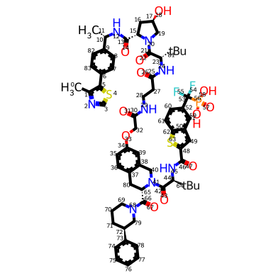 Cc1ncsc1-c1ccc([C@H](C)NC(=O)[C@@H]2C[C@@H](O)CN2C(=O)[C@@H](NC(=O)CCNC(=O)COc2ccc3c(c2)CN(C(=O)[C@@H](NC(=O)c2cc4cc(C(F)(F)P(=O)(O)O)ccc4s2)C(C)(C)C)[C@H](C(=O)N2CCC[C@H](c4ccccc4)C2)C3)C(C)(C)C)cc1